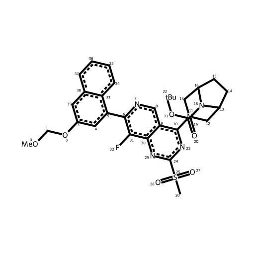 COCOc1cc(-c2ncc3c(N4CC5CCC(C4)N5C(=O)OC(C)(C)C)nc(S(C)(=O)=O)nc3c2F)c2ccccc2c1